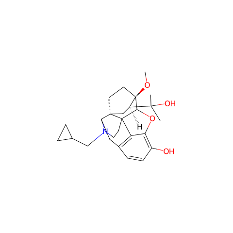 CO[C@]12CC[C@@]3(C[C@@H]1C(C)(C)O)C1Cc4ccc(O)c5c4C3(CCN1CC1CC1)C2O5